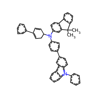 CC1(C)c2ccccc2-c2ccc(N(c3ccc(-c4ccc5c(c4)c4ccccc4n5-c4ccccc4)cc3)C3C=CC(c4ccccc4)=CC3)cc21